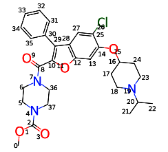 COC(=O)N1CCN(C(=O)c2oc3cc(OC4CCN(C(C)C)CC4)c(Cl)cc3c2-c2ccccc2)CC1